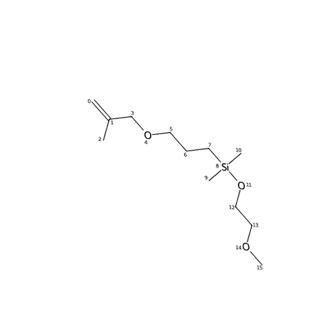 C=C(C)COCCC[Si](C)(C)OCCOC